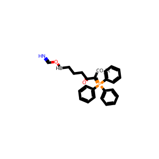 CCOC(=O)C(C(=O)CCCBOC=N)=P(c1ccccc1)(c1ccccc1)c1ccccc1